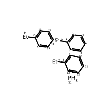 CCc1ccccc1.CCc1ccccc1.CCc1ccccc1.P